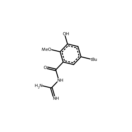 COc1c(O)cc(C(C)(C)C)cc1C(=O)NC(=N)N